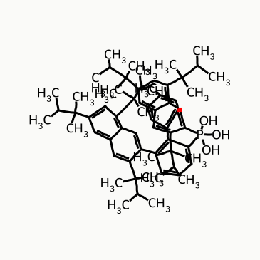 Cc1ccc(-c2c(-c3cc4c(C(C)(C)C(C)C)cc(C(C)(C)C(C)C)cc4cc3C(C)(C)C(C)C)cccc2P(O)(O)(O)c2cc3c(C(C)(C)C(C)C)cc(C(C)(C)C(C)C)cc3cc2C(C)(C)C(C)C)cc1